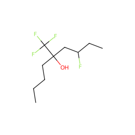 CCCCC(O)(CC(F)CC)C(F)(F)F